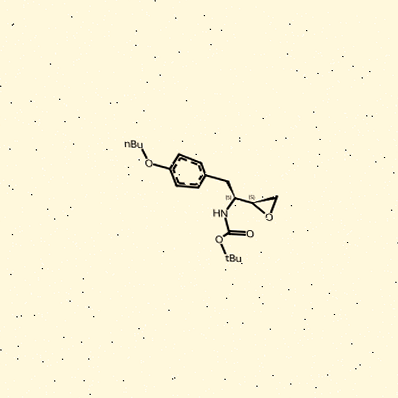 CCCCOc1ccc(C[C@H](NC(=O)OC(C)(C)C)[C@H]2CO2)cc1